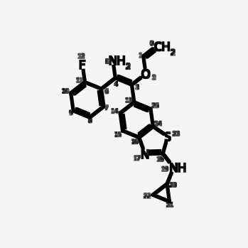 C=CO/C(=C(\N)c1ccccc1F)c1ccc2nc(NC3CC3)sc2c1